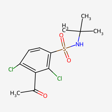 CC(=O)c1c(Cl)ccc(S(=O)(=O)NC(C)(C)C)c1Cl